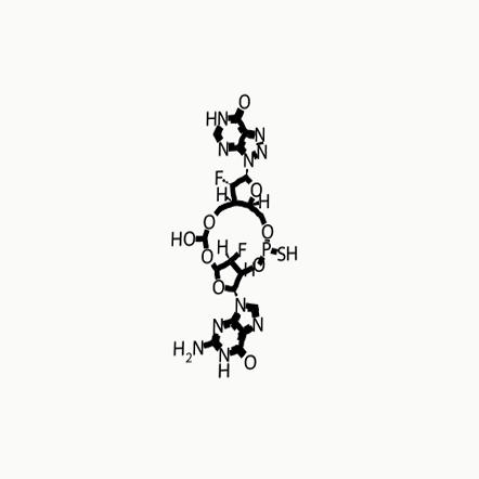 Nc1nc2c(ncn2[C@@H]2OC3OC(O)OC[C@H]4[C@H](F)[C@H](n5nnc6c(=O)[nH]cnc65)O[C@@H]4COP(S)O[C@@H]2[C@@H]3F)c(=O)[nH]1